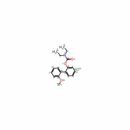 CCN(CC)C(=O)Oc1ccccc1-c1ccccc1[O][Ti].Cl